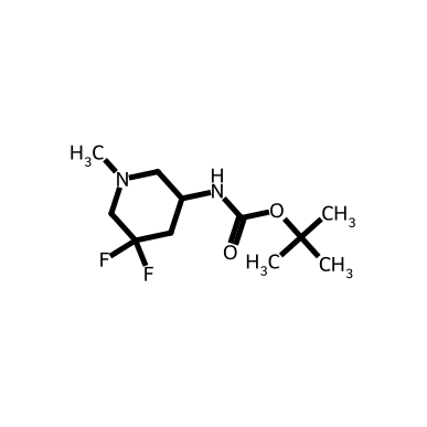 CN1CC(NC(=O)OC(C)(C)C)CC(F)(F)C1